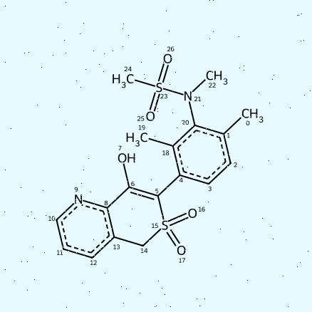 Cc1ccc(C2=C(O)c3ncccc3CS2(=O)=O)c(C)c1N(C)S(C)(=O)=O